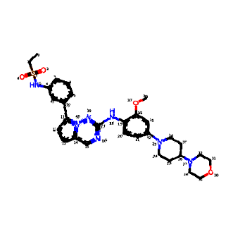 CCS(=O)(=O)Nc1cccc(-c2ccc3cnc(Nc4ccc(N5CCC(N6CCOCC6)CC5)cc4OC)nn23)c1